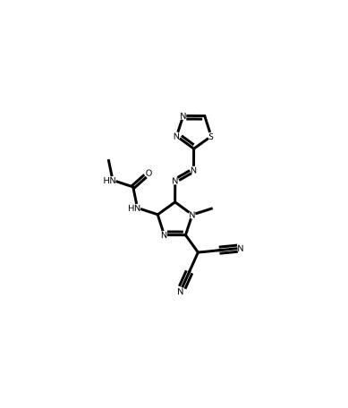 CNC(=O)NC1N=C(C(C#N)C#N)N(C)C1/N=N/c1nncs1